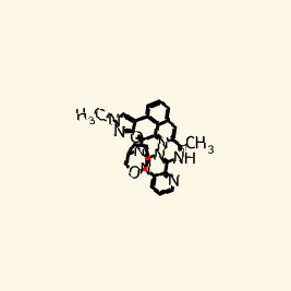 C[C@H](Nc1ncnc2cccnc12)c1cc2cccc(-c3cnn(C)c3)c2c(C(=O)N2C3CCC2COC3)n1